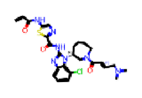 C=CC(=O)Nc1cnc(C(=O)Nc2nc3cccc(Cl)c3n2[C@@H]2CCCCN(C(=O)/C=C/CN(C)C)C2)s1